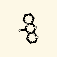 O=c1c2cccnc2nc2ccccn12